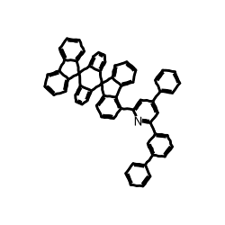 c1ccc(-c2cccc(-c3cc(-c4ccccc4)cc(-c4cccc5c4-c4ccccc4C54c5ccccc5C5(c6ccccc6-c6ccccc65)c5ccccc54)n3)c2)cc1